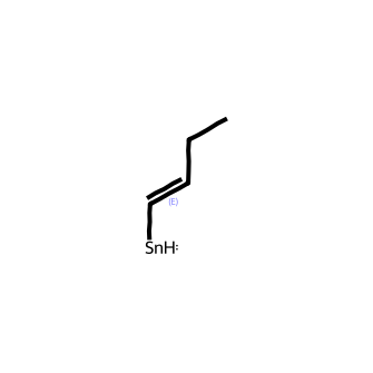 CC/C=[CH]/[SnH]